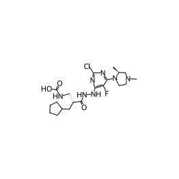 C[C@H]1CN(C)CCN1c1nc(Cl)nc(NNC(=O)[C@@H](CNC(=O)O)CC2CCCC2)c1F